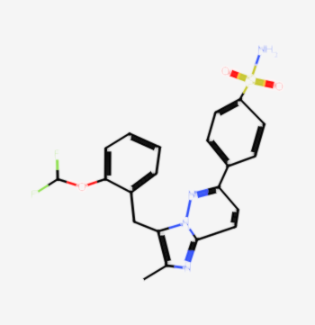 Cc1nc2ccc(-c3ccc(S(N)(=O)=O)cc3)nn2c1Cc1ccccc1OC(F)F